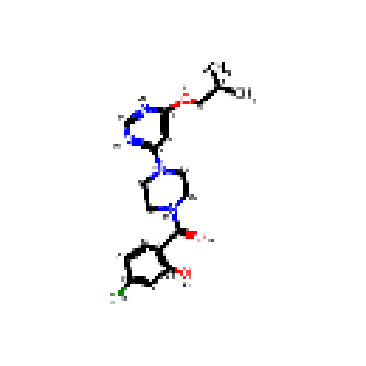 CC(C)COc1cc(N2CCN(C(=O)c3ccc(Cl)cc3O)CC2)ncn1